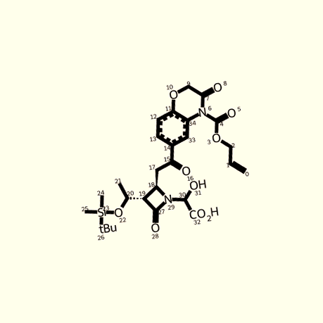 C=CCOC(=O)N1C(=O)COc2ccc(C(=O)C[C@@H]3[C@@H](C(C)O[Si](C)(C)C(C)(C)C)C(=O)N3C(O)C(=O)O)cc21